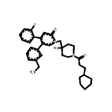 NCc1cccc(-c2cn(CC3(O)CCN(C(=O)CCC4CCCCC4)CC3)c(=O)cc2-c2ccccc2F)c1